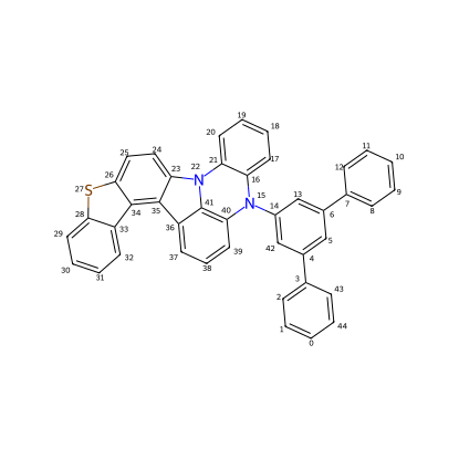 c1ccc(-c2cc(-c3ccccc3)cc(N3c4ccccc4-n4c5ccc6sc7ccccc7c6c5c5cccc3c54)c2)cc1